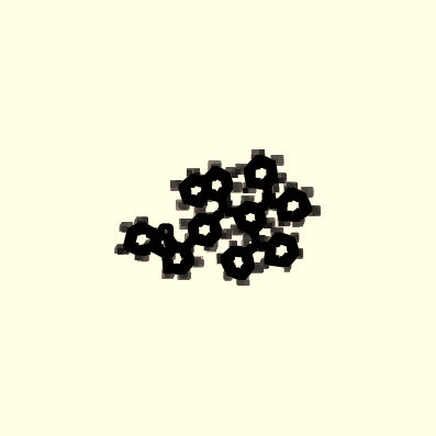 c1ccc(N(c2ccccc2)c2cc(N(c3ccccc3)c3ccccc3)cc(N(c3ccc(-c4cccc5c4oc4ccccc45)cc3)c3cccc4ccccc34)c2)cc1